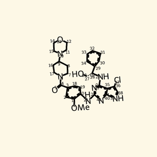 COc1cc(C(=O)N2CCC(N3CCOCC3)CC2)ccc1Nc1nc(N[C@H](CO)c2ccccc2)c2c(Cl)c[nH]c2n1